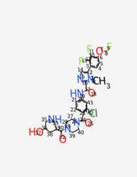 Cn1c(-c2ccc(OCF)c(F)c2F)cnc1C(=O)Nc1ccc(C(=O)N2CCN(C(=O)C3CNCC(O)C3)CC2)c(Cl)c1